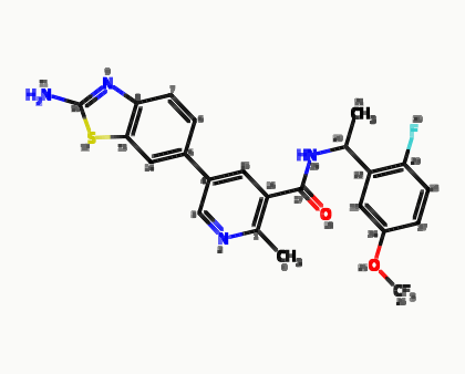 Cc1ncc(-c2ccc3nc(N)sc3c2)cc1C(=O)NC(C)c1cc(OC(F)(F)F)ccc1F